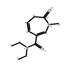 CCN(CC)C(=O)C1=CN(C)C(=O)CC=C1